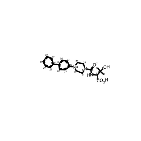 CC(C)(O)[C@H](NC(=O)N1CCN(c2ccc(-c3ccccc3)cc2)CC1)C(=O)O